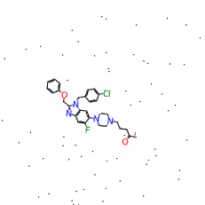 CC(=O)CCCN1CCN(c2cc3c(cc2F)nc(COc2ccccc2)n3Cc2ccc(Cl)cc2)CC1